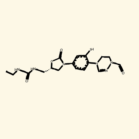 CCNC(=O)NC[C@H]1CN(c2ccc(N3C=NN(C=O)CC3)c(S)c2)C(=O)O1